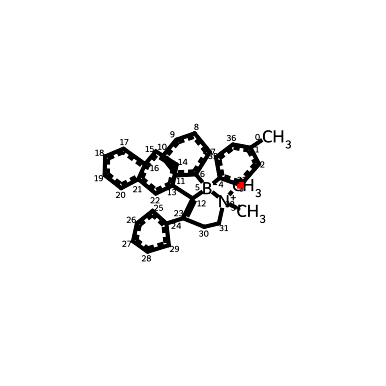 Cc1ccc([B-]2(c3ccccc3)C(c3ccc4ccccc4c3)=C(c3ccccc3)CC[N+]2(C)C)cc1